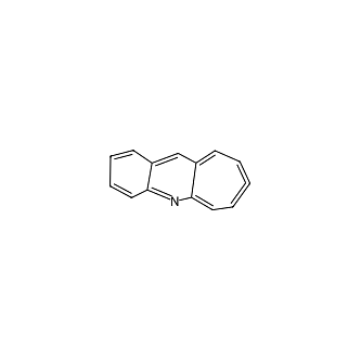 C1=CC=c2cc3ccccc3nc2=CC=1